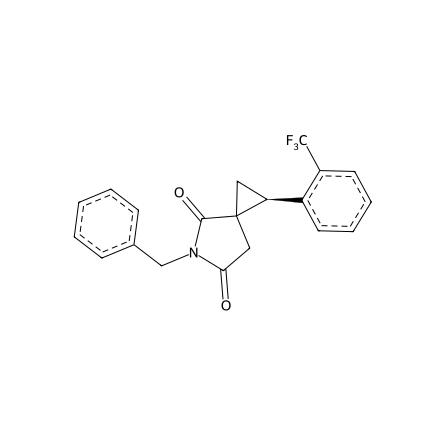 O=C1CC2(C[C@H]2c2ccccc2C(F)(F)F)C(=O)N1Cc1ccccc1